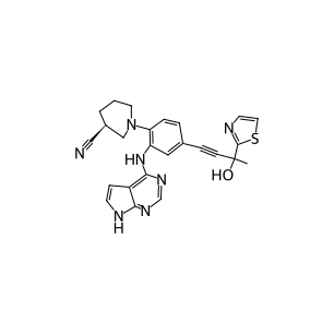 CC(O)(C#Cc1ccc(N2CCC[C@H](C#N)C2)c(Nc2ncnc3[nH]ccc23)c1)c1nccs1